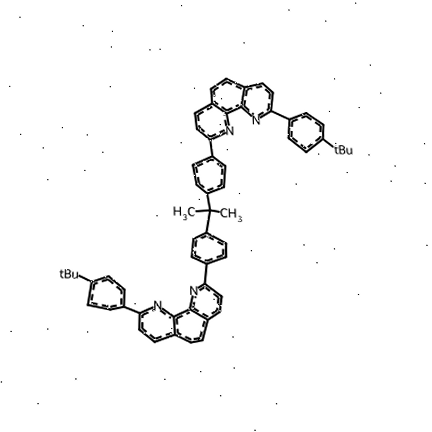 CC(C)(C)c1ccc(-c2ccc3ccc4ccc(-c5ccc(C(C)(C)c6ccc(-c7ccc8ccc9ccc(-c%10ccc(C(C)(C)C)cc%10)nc9c8n7)cc6)cc5)nc4c3n2)cc1